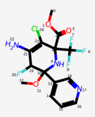 COC(=O)C1(C(F)(F)F)NC(OC)(c2cccnc2)C(F)C(N)=C1Cl